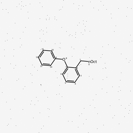 CCCCCCCCCc1ccccc1Oc1ccccc1